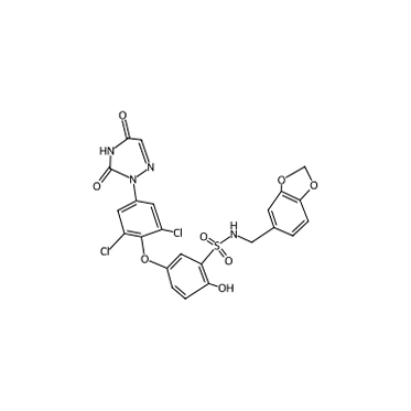 O=c1cnn(-c2cc(Cl)c(Oc3ccc(O)c(S(=O)(=O)NCc4ccc5c(c4)OCO5)c3)c(Cl)c2)c(=O)[nH]1